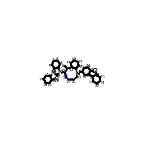 C=C1/C(n2c3ccccc3n3c4ccccc4nc23)=C\C=C/CN(c2ccc3oc4ccccc4c3c2)c2ccccc21